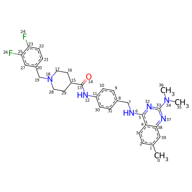 Cc1ccc2c(NCc3ccc(NC(=O)C4CCN(Cc5ccc(F)c(F)c5)CC4)cc3)nc(N(C)C)nc2c1